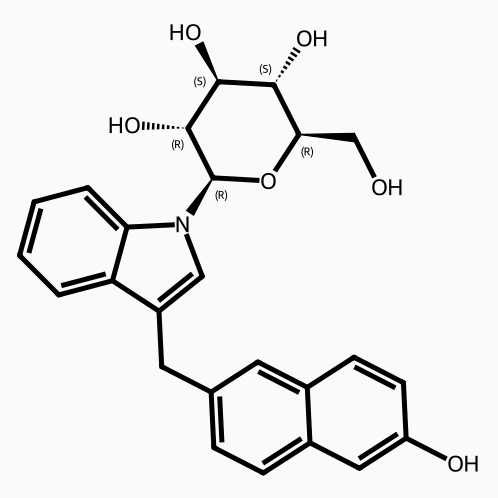 OC[C@H]1O[C@@H](n2cc(Cc3ccc4cc(O)ccc4c3)c3ccccc32)[C@H](O)[C@@H](O)[C@@H]1O